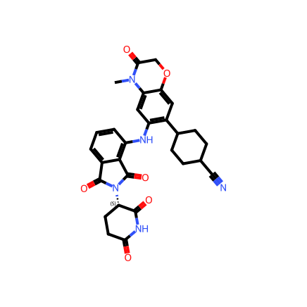 CN1C(=O)COc2cc(C3CCC(C#N)CC3)c(Nc3cccc4c3C(=O)N([C@H]3CCC(=O)NC3=O)C4=O)cc21